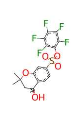 CC1(C)C[C@H](O)c2ccc(S(=O)(=O)Oc3c(F)c(F)c(F)c(F)c3F)cc2O1